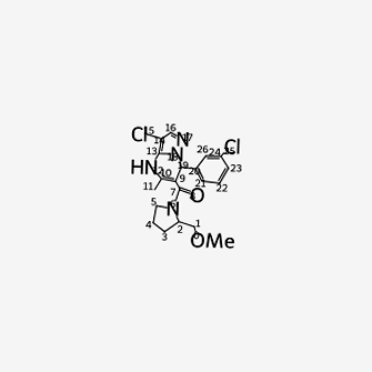 COCC1CCCN1C(=O)C1=C(C)Nc2c(Cl)cnn2C1c1cccc(Cl)c1